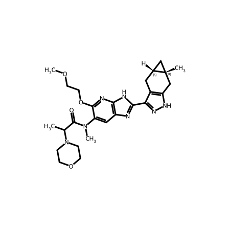 COCCOc1nc2[nH]c(-c3n[nH]c4c3C[C@@H]3C[C@]3(C)C4)nc2cc1N(C)C(=O)C(C)N1CCOCC1